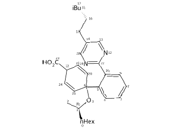 CCCCCC[C@@H](C)OC1(c2ccccc2-c2ncc(CC[C@@H](C)CC)cn2)C=CC(C(=O)O)C=C1